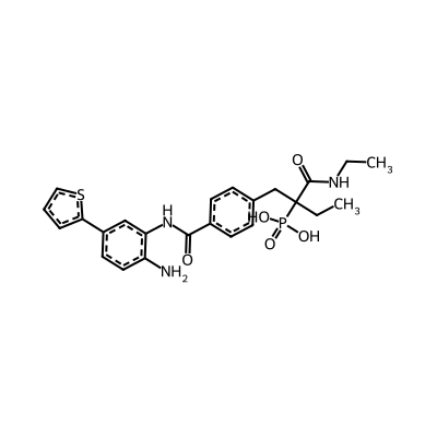 CCNC(=O)C(CC)(Cc1ccc(C(=O)Nc2cc(-c3cccs3)ccc2N)cc1)P(=O)(O)O